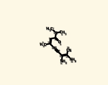 CC(=CC(=O)N(C)C)[N+]#C/C(N)=C(/N)C#N